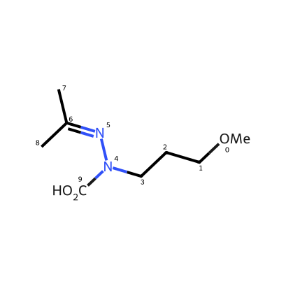 COCCCN(N=C(C)C)C(=O)O